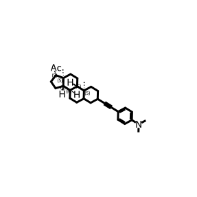 CC(=O)[C@H]1CC[C@H]2[C@@H]3CCC4CC(C#Cc5ccc(N(C)C)cc5)CC[C@]4(C)[C@H]3CC[C@]12C